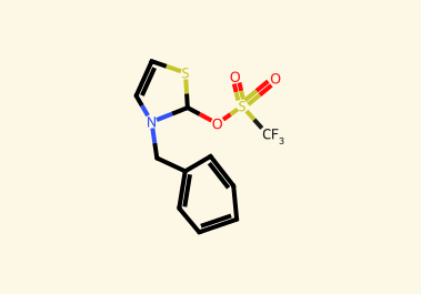 O=S(=O)(OC1SC=CN1Cc1ccccc1)C(F)(F)F